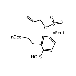 C=CCOS(=O)(=O)CCCCC.CCCCCCCCCCCCc1ccccc1S(=O)(=O)O